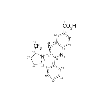 O=C(O)c1ccc2nc(-c3ccccc3)c(N3CCCC3C(F)(F)F)nc2c1